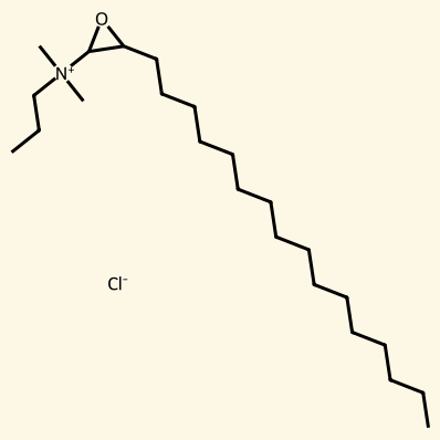 CCCCCCCCCCCCCCCCC1OC1[N+](C)(C)CCC.[Cl-]